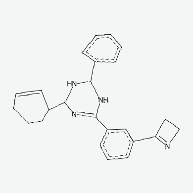 C1=CC(C2N=C(c3cccc(C4=NCC4)c3)NC(c3ccccc3)N2)CCC1